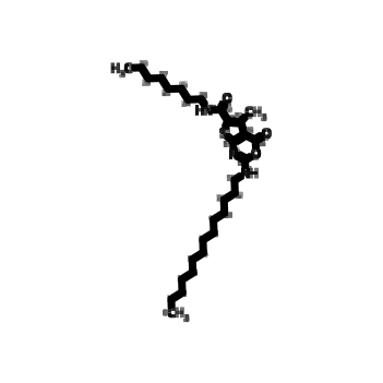 CCCCCCCCCCCCCCNc1nc2sc(C(=O)NCCCCCCCC)c(C)c2c(=O)o1